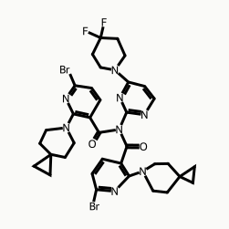 O=C(c1ccc(Br)nc1N1CCC2(CC1)CC2)N(C(=O)c1ccc(Br)nc1N1CCC2(CC1)CC2)c1nccc(N2CCC(F)(F)CC2)n1